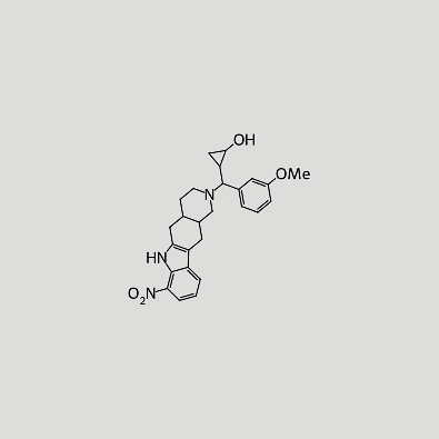 COc1cccc(C(C2CC2O)N2CCC3Cc4[nH]c5c([N+](=O)[O-])cccc5c4CC3C2)c1